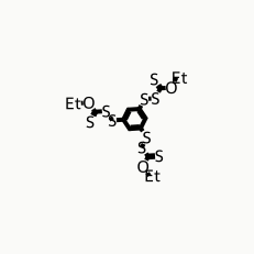 CCOC(=S)SSc1cc(SSC(=S)OCC)cc(SSC(=S)OCC)c1